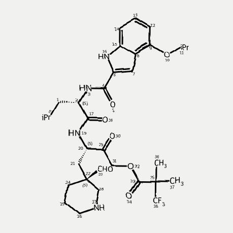 CC(C)C[C@H](NC(=O)c1cc2c(OC(C)C)cccc2[nH]1)C(=O)N[C@@H](C[C@@]1(C=O)CCCNC1)C(=O)COC(=O)C(C)(C)C(F)(F)F